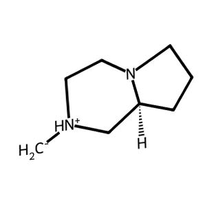 [CH2-][NH+]1CCN2CCC[C@H]2C1